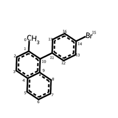 Cc1ccc2ccccc2c1-c1ccc(Br)cc1